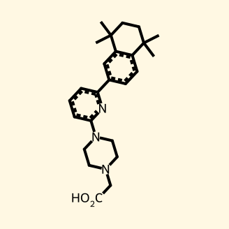 CC1(C)CCC(C)(C)c2cc(-c3cccc(N4CCN(CC(=O)O)CC4)n3)ccc21